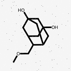 COCC1C2CC3(O)CC1CC(O)(C2)C3